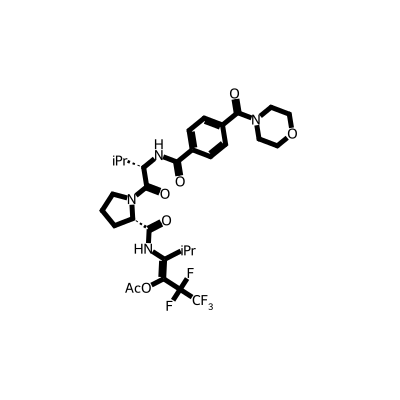 CC(=O)O/C(=C(\NC(=O)[C@@H]1CCCN1C(=O)[C@@H](NC(=O)c1ccc(C(=O)N2CCOCC2)cc1)C(C)C)C(C)C)C(F)(F)C(F)(F)F